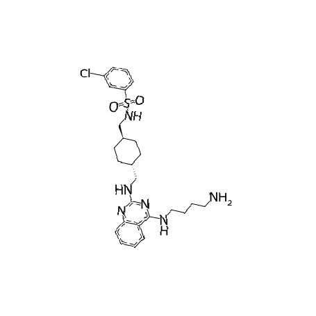 NCCCCNc1nc(NC[C@H]2CC[C@H](CNS(=O)(=O)c3cccc(Cl)c3)CC2)nc2ccccc12